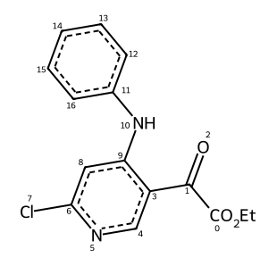 CCOC(=O)C(=O)c1cnc(Cl)cc1Nc1ccccc1